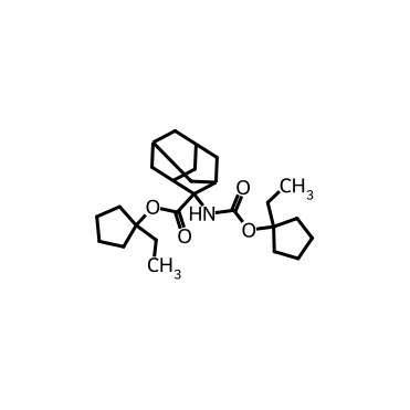 CCC1(OC(=O)NC2(C(=O)OC3(CC)CCCC3)C3CC4CC(C3)CC2C4)CCCC1